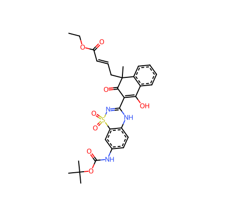 CCOC(=O)/C=C/CC1(C)C(=O)C(C2=NS(=O)(=O)c3cc(NC(=O)OC(C)(C)C)ccc3N2)=C(O)c2ccccc21